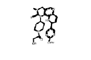 COc1ncc(C2C=Cc3ncc4c(c3N2)N(C2CCN(C(=O)CO)CC2)C(=O)N(C)C4)cn1